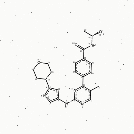 Cc1cnc(Nc2cnn(C3CCOCC3)c2)nc1-c1ccc(C(=O)N[C@@H](C)C(F)(F)F)cc1